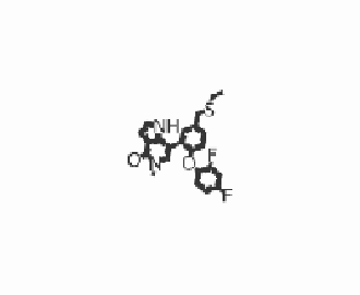 CCSCc1ccc(Oc2ccc(F)cc2F)c(-c2cn(C)c(=O)c3cc[nH]c23)c1